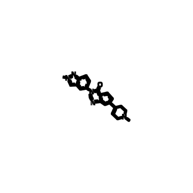 CN1CC=C(c2ccc3c(=O)n(-c4ccc5nn(C)cc5c4)cnc3c2)CC1